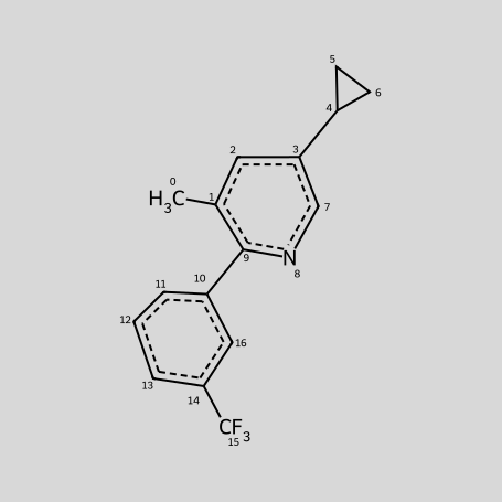 Cc1cc(C2CC2)cnc1-c1cccc(C(F)(F)F)c1